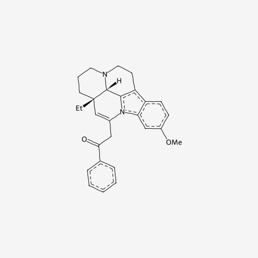 CC[C@@]12C=C(CC(=O)c3ccccc3)n3c4c(c5ccc(OC)cc53)CCN(CCC1)[C@H]42